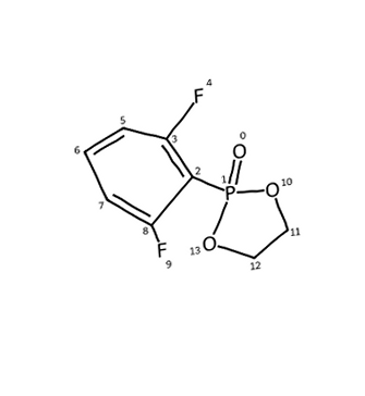 O=P1(c2c(F)cccc2F)OCCO1